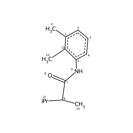 Cc1cccc(NC(=O)C(C)C(C)C)c1C